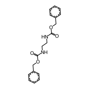 O=C(NCCNC(=O)OCc1ccccc1)OCc1ccccc1